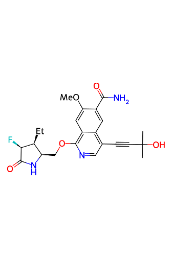 CC[C@@H]1[C@H](F)C(=O)N[C@@H]1COc1ncc(C#CC(C)(C)O)c2cc(C(N)=O)c(OC)cc12